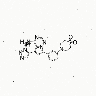 CC(C)n1nncc1-c1cc(-c2cccc(N3CCS(=O)(=O)CC3)c2)n2ncnc(N)c12